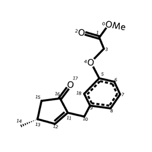 COC(=O)COc1cccc(CC2=C[C@H](C)CC2=O)c1